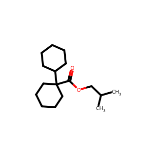 CC(C)COC(=O)C1(C2CCCCC2)CCCCC1